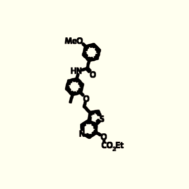 CCOC(=O)Oc1cncc2c(COc3cc(NC(=O)c4cccc(OC)c4)ccc3C)csc12